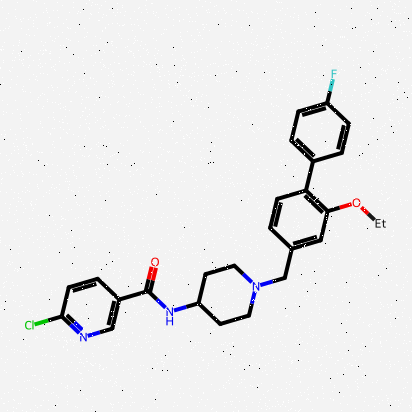 CCOc1cc(CN2CCC(NC(=O)c3ccc(Cl)nc3)CC2)ccc1-c1ccc(F)cc1